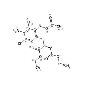 CCOC(=O)C[C@H](Cc1cc(Cl)c(N)c(C)c1COC(C)=O)C(=O)OCC